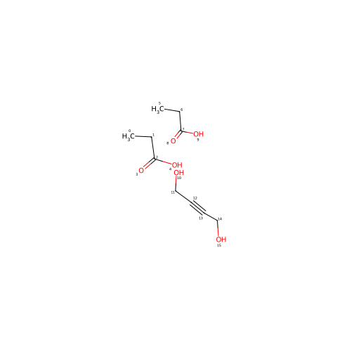 CCC(=O)O.CCC(=O)O.OCC#CCO